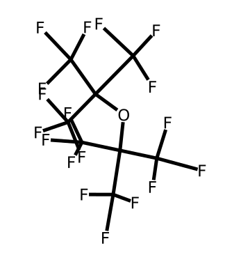 FC(F)(F)C(OC(C(F)(F)F)(C(F)(F)F)C(F)(F)F)(C(F)(F)F)C(F)(F)F